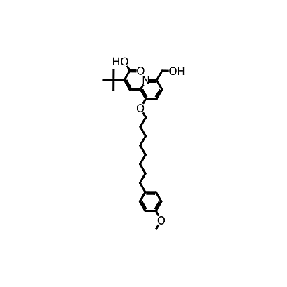 COc1ccc(CCCCCCCCOc2ccc(CO)nc2C=C(C(=O)O)C(C)(C)C)cc1